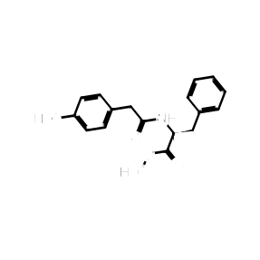 COC(=O)[C@H](Cc1ccccc1)NC(=O)Cc1ccc(C)cc1